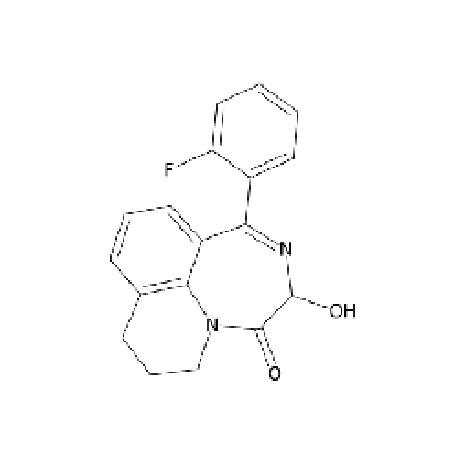 O=C1C(O)N=C(c2ccccc2F)c2cccc3c2N1CCC3